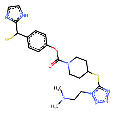 CN(C)CCn1nnnc1SC1CCN(C(=O)Oc2ccc(C(S)c3ncc[nH]3)cc2)CC1